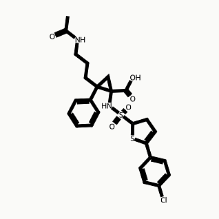 CC(=O)NCCCC1(c2ccccc2)CC1(NS(=O)(=O)C1CC=C(c2ccc(Cl)cc2)S1)C(=O)O